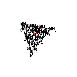 NCC(O)CNC(=O)CCN(CCC(=O)NCC(O)CN)CC(O)CNC(=O)CCN(CCC(=O)NCC(O)CN(CCC(=O)NCC(O)CN)CCC(=O)NCC(O)CN)CC(O)CNC(=O)CCN(CCC(=O)NCC(O)CN(CCC(=O)NCC(O)CN(CCC(=O)NCC(O)CN)CCC(=O)NCC(O)CN)CCC(=O)NCC(O)CN(CCC(=O)NCC(O)CN)CCC(=O)NCC(O)CN)c1ccc(F)cc1